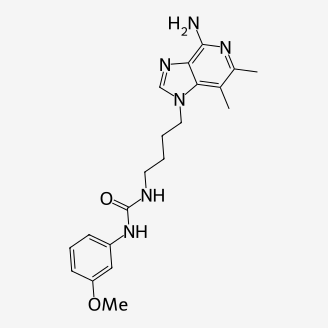 COc1cccc(NC(=O)NCCCCn2cnc3c(N)nc(C)c(C)c32)c1